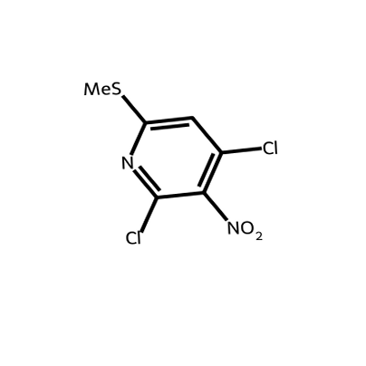 CSc1cc(Cl)c([N+](=O)[O-])c(Cl)n1